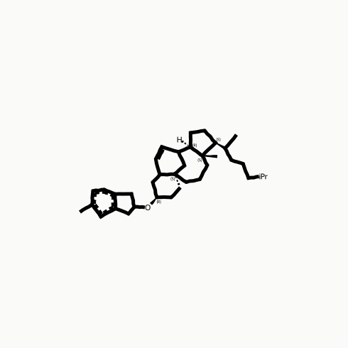 Cc1ccc2c(c1)CC(O[C@@H]1CC[C@]34CCC[C@]5(C)[C@H](CC[C@H]5C(C)CCCC(C)C)C(C=CC3C1)C4)C2